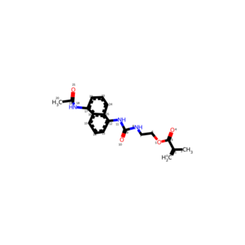 C=C(C)C(=O)OCCNC(=O)Nc1cccc2c(NC(C)=O)cccc12